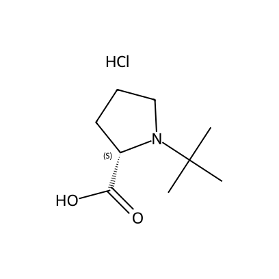 CC(C)(C)N1CCC[C@H]1C(=O)O.Cl